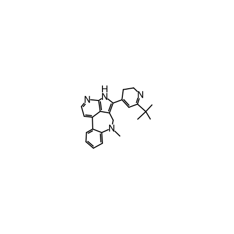 CN1Cc2c(C3=CC(C(C)(C)C)=NCC3)[nH]c3nccc(c23)-c2ccccc21